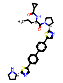 CCC[C@@H](NC(=O)C1CC1)C(=O)N1CCC[C@H]1c1ncc(-c2ccc(-c3ccc(-c4cnc([C@@H]5CCCN5)s4)cc3)cc2)s1